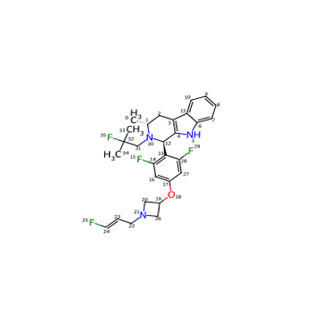 C[C@@H]1Cc2c([nH]c3ccccc23)[C@@H](c2c(F)cc(OC3CN(CC=CF)C3)cc2F)N1CC(C)(C)F